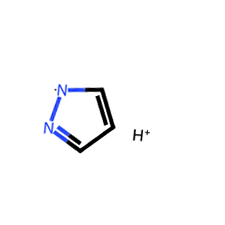 C1=C[N]N=C1.[H+]